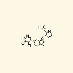 CCc1ncccc1Cn1cnc2c1CN(c1cn[nH]c(=O)c1Cl)CC2